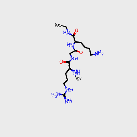 CC(=O)CNC(=O)C(CCCCN)NC(=O)CNC(=O)C(CCCNC(=N)N)NC(C)C